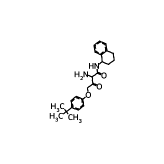 CC(C)(C)c1ccc(OCC(=O)C(N)C(=O)NC2CCCc3ccccc32)cc1